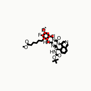 COC(=O)CCCCCc1cc(OC)cc(Cl)c1Nc1nc(=O)n(-c2cncc3cccc(CNC(=O)OC(C)(C)C)c23)c(=O)n1Cc1cc(F)c(F)cc1F